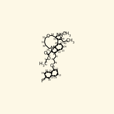 CCOC(=O)c1c(CCCOc2cccc3cc(F)ccc23)c2cccc3c2n1CCCCOCc1nn(C)c(CC)c1-3